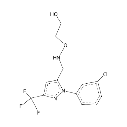 OCCONCc1cc(C(F)(F)F)nn1-c1cccc(Cl)c1